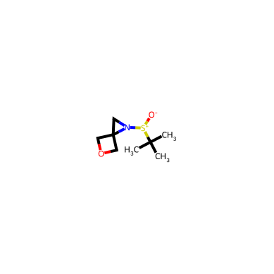 CC(C)(C)[S+]([O-])N1CC12COC2